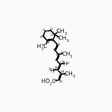 [3H]C(/C=C(C)/C=C/C1=C(C)CCCC1(C)C)=C([3H])\C(C)=C/C(=O)O